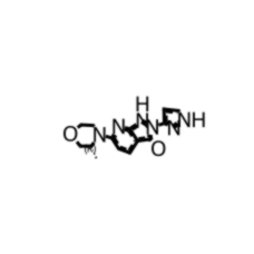 C[C@@H]1COCCN1c1ccc2c(=O)n(-c3cc[nH]n3)[nH]c2n1